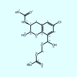 CCCC(=O)N[C@H]1Cc2cc(Cl)cc(C(O)OCOC(=O)C(C)(C)C)c2OB1O